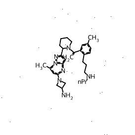 C=C(c1cc(C)ccc1CCCNCCC)N1CCCCC1c1cc2nc(N3CC(N)C3)cc(C)n2n1